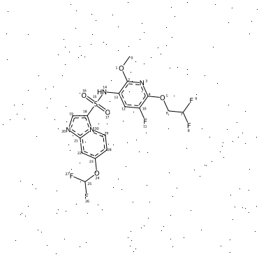 COc1nc(OCC(F)F)c(F)cc1NS(=O)(=O)c1cnc2cc(OC(F)F)ccn12